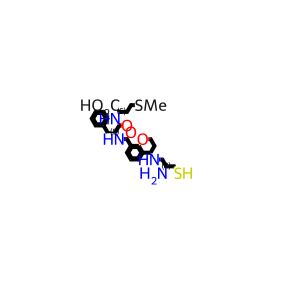 CSCC[C@H](NC(=O)[C@H](Cc1ccccc1)NC(=O)c1cccc2c1OCCC2NC[C@@H](N)CS)C(=O)O